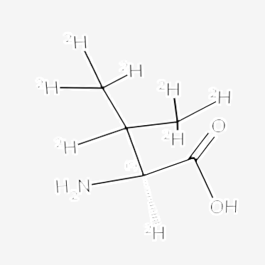 [2H]C([2H])([2H])C([2H])(C([2H])([2H])[2H])[C@]([2H])(N)C(=O)O